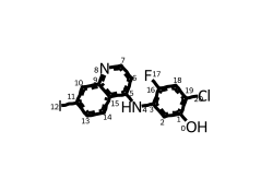 Oc1cc(Nc2ccnc3cc(I)ccc23)c(F)cc1Cl